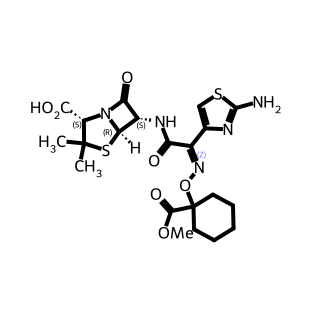 COC(=O)C1(O/N=C(\C(=O)N[C@H]2C(=O)N3[C@@H]2SC(C)(C)[C@@H]3C(=O)O)c2csc(N)n2)CCCCC1